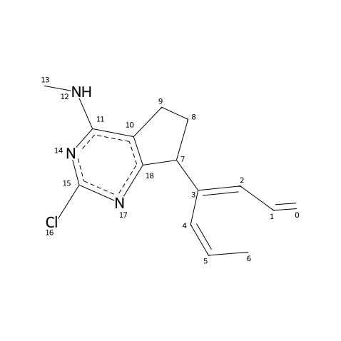 C=C/C=C(\C=C/C)C1CCc2c(NC)nc(Cl)nc21